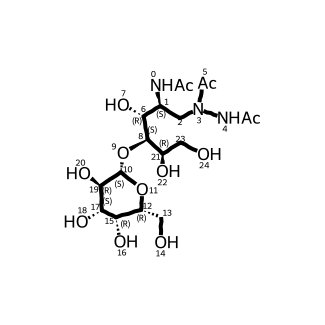 CC(=O)N[C@@H](CN(NC(C)=O)C(C)=O)[C@@H](O)[C@H](O[C@@H]1O[C@H](CO)[C@H](O)[C@H](O)[C@H]1O)[C@H](O)CO